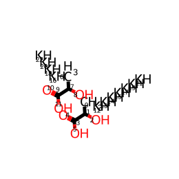 CC(O)C(=O)O.CC(O)C(=O)O.[KH].[KH].[KH].[KH].[KH].[KH].[KH].[KH].[KH].[KH].[KH]